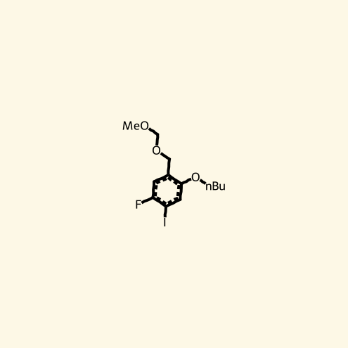 CCCCOc1cc(I)c(F)cc1COCOC